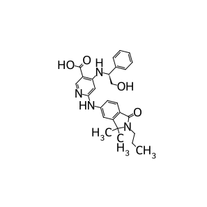 CCCN1C(=O)c2ccc(Nc3cc(N[C@H](CO)c4ccccc4)c(C(=O)O)cn3)cc2C1(C)C